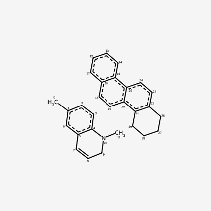 Cc1ccc2c(c1)C=CCN2C.c1ccc2c(c1)ccc1c3c(ccc12)CCCC3